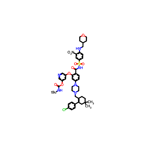 CC1(C)CCC(CN2CCN(c3ccc(C(=O)NS(=O)(=O)c4ccc(NCC5CCOCC5)c([N+](=O)[O-])c4)c(Oc4cncc(OC(=O)NC(C)(C)C)c4)c3)CC2)=C(c2ccc(Cl)cc2)C1